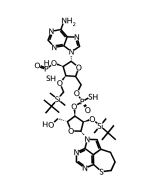 CC(C)(C)[Si](C)(C)CO[C@@H]1C(COP(=O)(S)O[C@H]2[C@@H](O[Si](C)(C)C(C)(C)C)[C@H](n3cc4c5c(ncnc53)SCCC4)O[C@@H]2CO)O[C@@H](n2cnc3c(N)ncnc32)[C@@H]1O[PH](=O)S